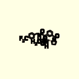 C=CS(=O)(=O)NC[C@H]1CCCN1C(=O)c1cccc(CC(=O)NCc2ccc(C(F)(F)F)cc2)c1